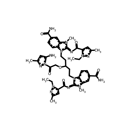 CCn1nc(C)cc1C(=O)N=c1n(C)c2cc(C(N)=O)ccc2n1CCC(CCn1c(=NC(=O)c2cc(C)nn2CC)n(C)c2cc(C(N)=O)ccc21)OCC(=O)n1nc(C)cc1N